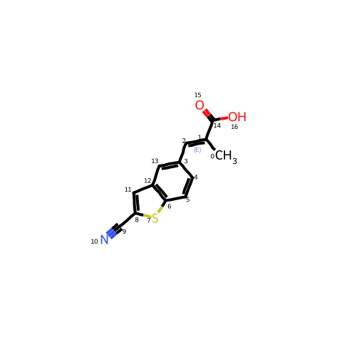 C/C(=C\c1ccc2sc(C#N)cc2c1)C(=O)O